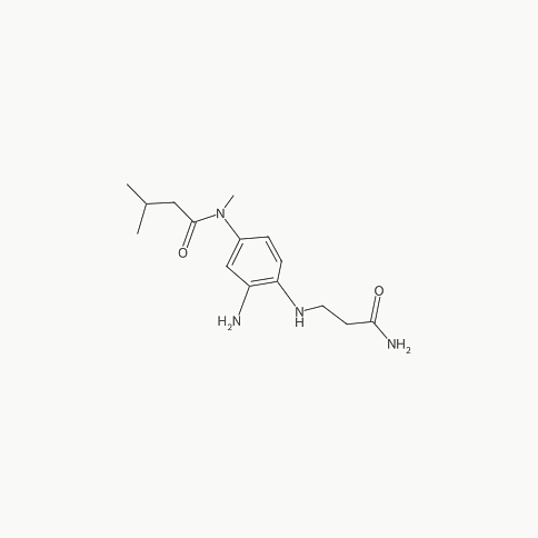 CC(C)CC(=O)N(C)c1ccc(NCCC(N)=O)c(N)c1